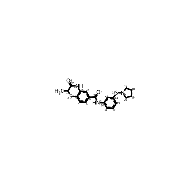 CC1Sc2ccc(C(=O)Nc3cccc(SN4CCCC4)c3)cc2NC1=O